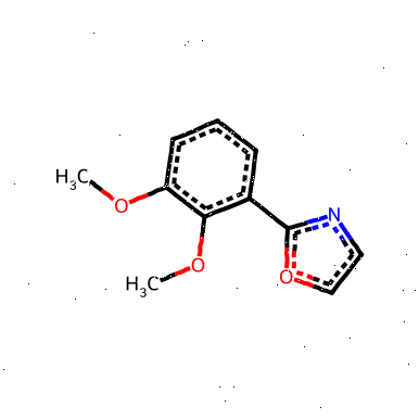 COc1cccc(-c2ncco2)c1OC